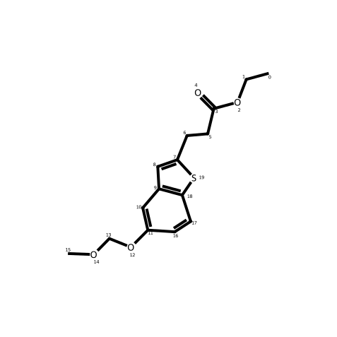 CCOC(=O)CCc1cc2cc(OCOC)ccc2s1